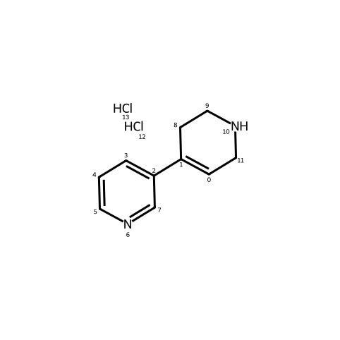 C1=C(c2cccnc2)CCNC1.Cl.Cl